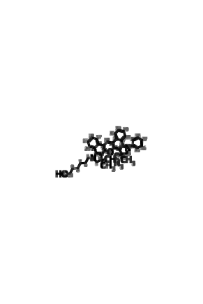 CC1(C)CN(CCCCCCO)c2c1c1c(c3ccccc23)C=c2c(c3c(c4ccccc24)=[N+](c2ccccc2)CC3(C)C)O1